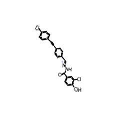 O=C(N/N=C/c1ccc(C#Cc2ccc(Cl)cc2)cc1)c1ccc(O)c(Cl)c1